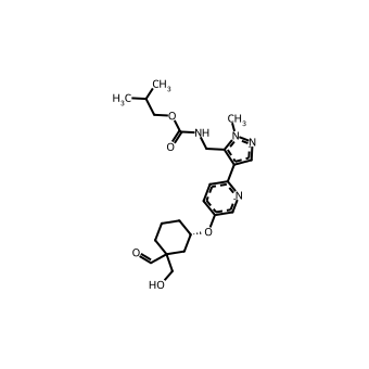 CC(C)COC(=O)NCc1c(-c2ccc(O[C@H]3CCCC(C=O)(CO)C3)cn2)cnn1C